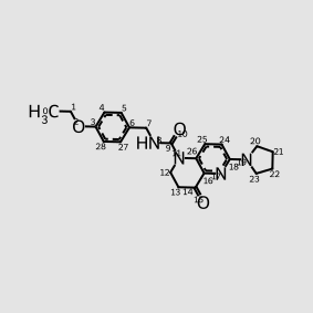 CCOc1ccc(CNC(=O)N2CCC(=O)c3nc(N4CCCC4)ccc32)cc1